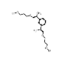 CCOCCCOC=C(C)c1cccc(C(C)=COCCCOCC)c1